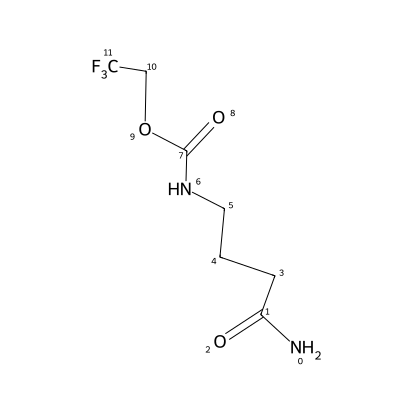 NC(=O)CCCNC(=O)OCC(F)(F)F